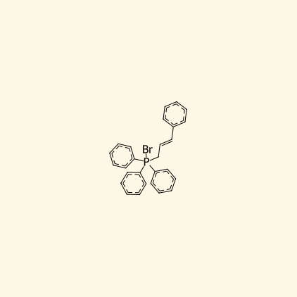 BrP(CC=Cc1ccccc1)(c1ccccc1)(c1ccccc1)c1ccccc1